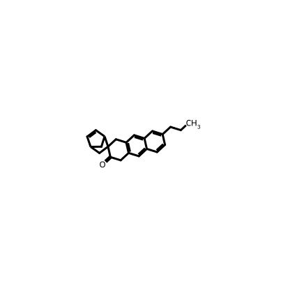 CCCc1ccc2cc3c(cc2c1)CC1(CC2C=CC1C2)C(=O)C3